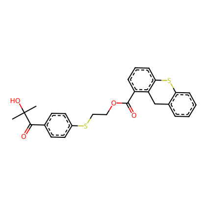 CC(C)(O)C(=O)c1ccc(SCCOC(=O)c2cccc3c2Cc2ccccc2S3)cc1